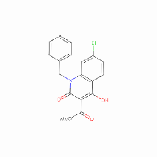 COC(=O)c1c(O)c2ccc(Cl)cc2n(Cc2ccccc2)c1=O